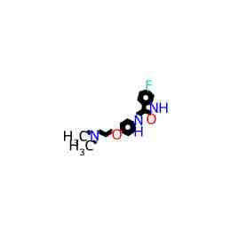 CCN(CC)CCCOc1ccc(NC=C2C(=O)Nc3cc(F)ccc32)cc1